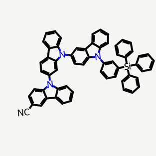 N#Cc1ccc2c(c1)c1ccccc1n2-c1ccc2c3ccccc3n(-c3ccc4c(c3)c3ccccc3n4-c3cccc([Si](c4ccccc4)(c4ccccc4)c4ccccc4)c3)c2c1